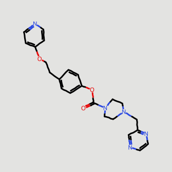 O=C(Oc1ccc(CCOc2ccncc2)cc1)N1CCN(Cc2cnccn2)CC1